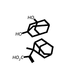 C=C(C(=O)O)C1(C)C2CC3CC(C2)CC1C3.OC12CC3CC(C1)CC(O)(C3)C2